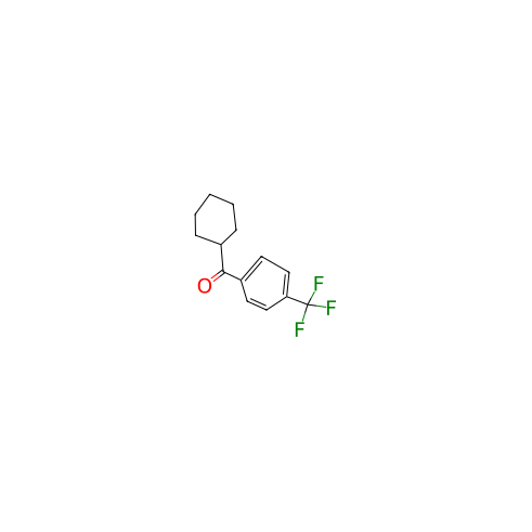 O=C(c1ccc(C(F)(F)F)cc1)C1CCCCC1